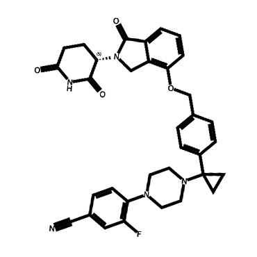 N#Cc1ccc(N2CCN(C3(c4ccc(COc5cccc6c5CN([C@H]5CCC(=O)NC5=O)C6=O)cc4)CC3)CC2)c(F)c1